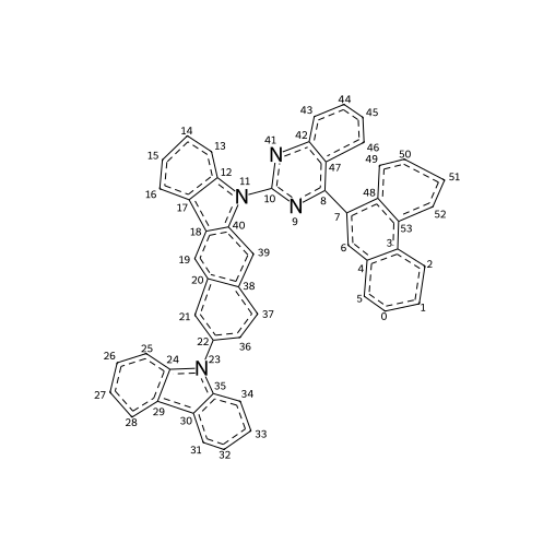 c1ccc2c(c1)cc(-c1nc(-n3c4ccccc4c4cc5cc(-n6c7ccccc7c7ccccc76)ccc5cc43)nc3ccccc13)c1ccccc12